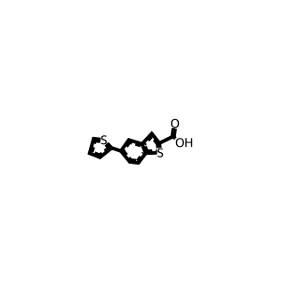 O=C(O)c1cc2cc(-c3cccs3)ccc2s1